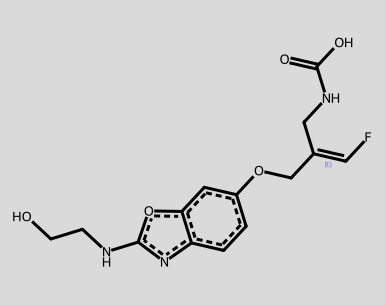 O=C(O)NC/C(=C\F)COc1ccc2nc(NCCO)oc2c1